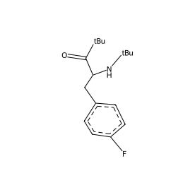 CC(C)(C)NC(Cc1ccc(F)cc1)C(=O)C(C)(C)C